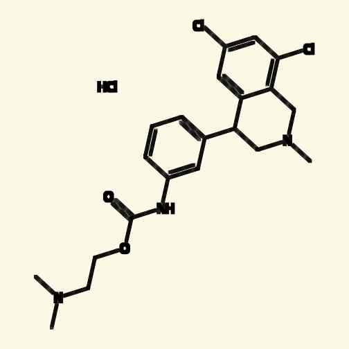 CN(C)CCOC(=O)Nc1cccc(C2CN(C)Cc3c(Cl)cc(Cl)cc32)c1.Cl